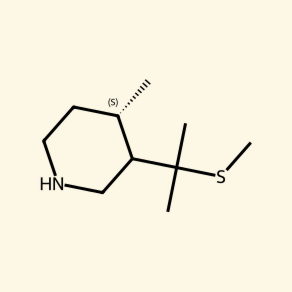 CSC(C)(C)C1CNCC[C@@H]1C